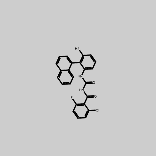 O=C(NC(=O)c1c(F)cccc1Cl)Nc1cccc(S)c1-c1cccc2ccccc12